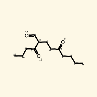 CCCCC(=O)CCC([C]=O)C(=O)CCC